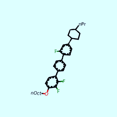 CCCCCCCCOc1ccc(-c2ccc(-c3ccc(C4CCC(CCC)CC4)cc3F)cc2)c(F)c1F